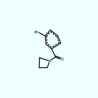 CC(C)c1cccc(C(=O)N2CCC2)c1